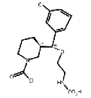 O=C(O)NCCO[C@@H](c1cccc(Cl)c1)[C@@H]1CCCN(C(=O)Cl)C1